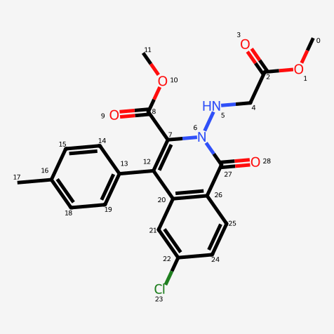 COC(=O)CNn1c(C(=O)OC)c(-c2ccc(C)cc2)c2cc(Cl)ccc2c1=O